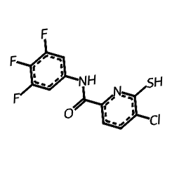 O=C(Nc1cc(F)c(F)c(F)c1)c1ccc(Cl)c(S)n1